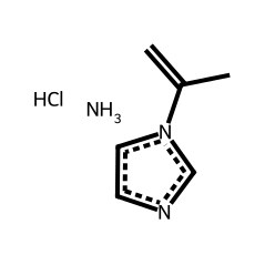 C=C(C)n1ccnc1.Cl.N